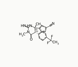 CN1C(=N)N[C@](C)(c2cc(C#N)cs2)[C@H](c2ccc(C(C)(F)F)cc2)C1=O